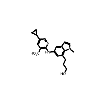 Cn1ccc2cc(Nc3ncc(C4CC4)cc3C(=O)O)cc(CCCO)c21